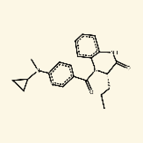 CCC[C@H]1C(=O)Nc2ccccc2N1C(=O)c1ccc(N(C)C2CC2)nc1